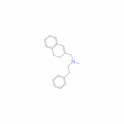 CN(CCc1ccccc1)CC1=Cc2ccccc2CC1